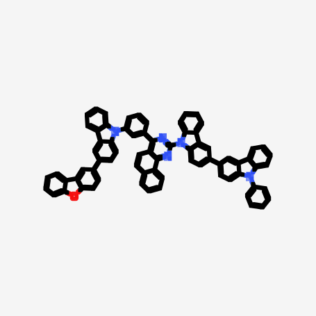 c1ccc(-n2c3ccccc3c3cc(-c4ccc5c(c4)c4ccccc4n5-c4nc(-c5cccc(-n6c7ccccc7c7cc(-c8ccc9oc%10ccccc%10c9c8)ccc76)c5)c5ccc6ccccc6c5n4)ccc32)cc1